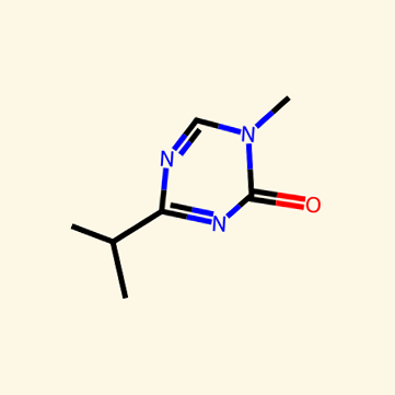 CC(C)c1ncn(C)c(=O)n1